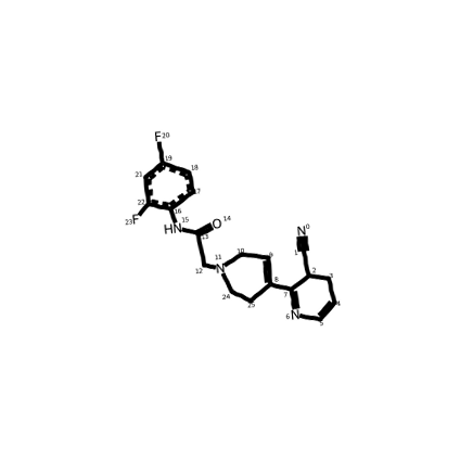 N#CC1CC=CN=C1C1=CCN(CC(=O)Nc2ccc(F)cc2F)CC1